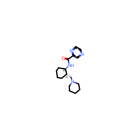 O=C(N[C@@H]1CCCC[C@H]1CN1CCCCC1)c1cnccn1